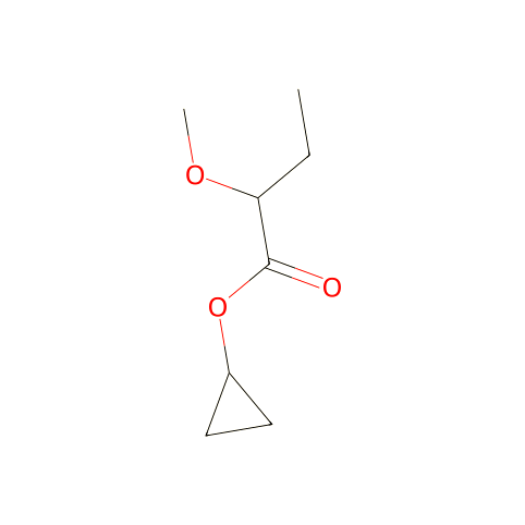 CCC(OC)C(=O)OC1CC1